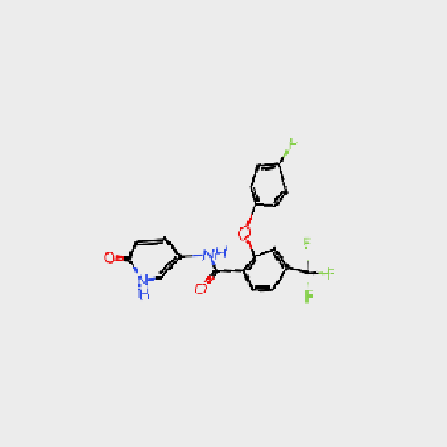 O=C(Nc1ccc(=O)[nH]c1)c1ccc(C(F)(F)F)cc1Oc1ccc(F)cc1